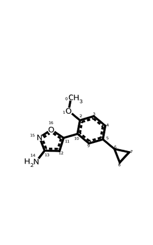 COc1ccc(C2CC2)cc1-c1cc(N)no1